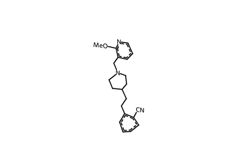 COc1ncccc1CN1CCC(CCc2ccccc2C#N)CC1